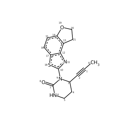 CC#CC1CCNC(=O)N1c1nc2c3c(ccc2s1)OCC3